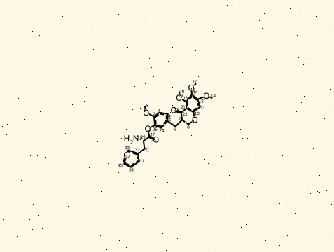 COc1ccc(CC2COc3cc(OC)c(OC)c(OC)c3C2=O)cc1OC(=O)[C@@H](N)Cc1ccccc1